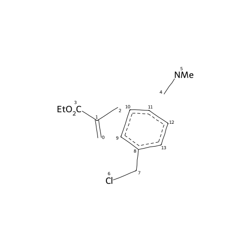 C=C(C)C(=O)OCC.CNC.ClCc1ccccc1